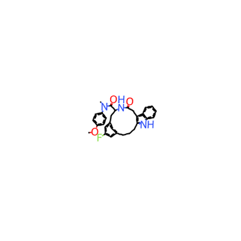 COc1ccc(N(C)C(=O)C2Cc3cc(F)cc(c3)CCCc3[nH]c4ccccc4c3CC(=O)N2)cc1